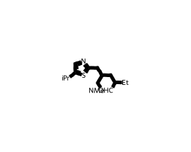 CCC(C=O)CC(CNC)Cc1ncc(C(C)C)s1